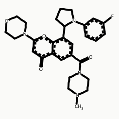 CN1CCN(C(=O)c2cc(C3CCCN3c3cccc(F)c3)c3oc(N4CCOCC4)cc(=O)c3c2)CC1